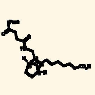 CCCCCC(=O)CCC(=O)NC[C@H]1[C@@H](CCCCCCC(=O)O)[C@H]2CC[C@@H]1O2